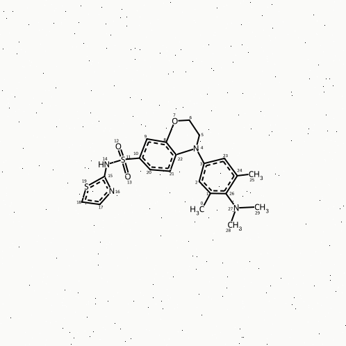 Cc1cc(N2CCOc3cc(S(=O)(=O)Nc4nccs4)ccc32)cc(C)c1N(C)C